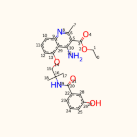 CCOC(=O)c1c(C)nc2cccc(OCC(C)(C)NC(=O)c3cccc(O)c3)c2c1N